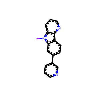 In1c2cc(-c3cccnc3)ccc2c2ncccc21